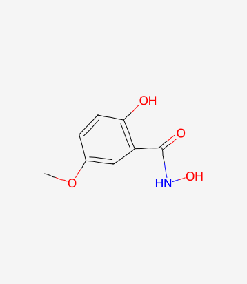 COc1ccc(O)c(C(=O)NO)c1